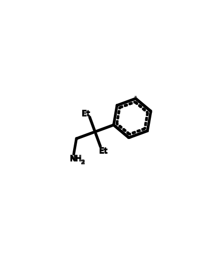 CCC(CC)(CN)c1c[c]ccc1